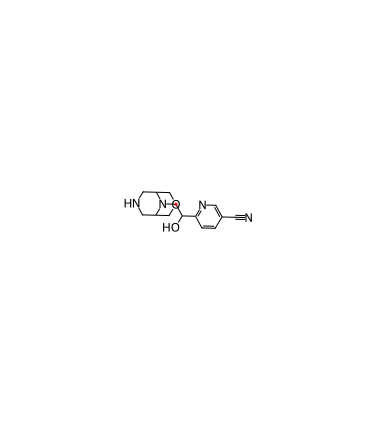 N#Cc1ccc(C(O)CN2C3CNCC2COC3)nc1